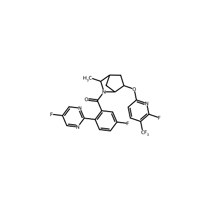 CC1C2CC(Oc3ccc(C(F)(F)F)c(F)n3)C(C2)N1C(=O)c1cc(F)ccc1-c1ncc(F)cn1